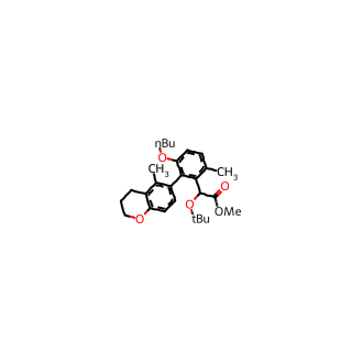 CCCCOc1ccc(C)c(C(OC(C)(C)C)C(=O)OC)c1-c1ccc2c(c1C)CCCO2